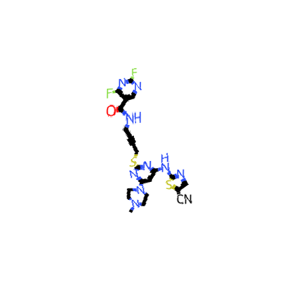 CN1CCN(c2cc(Nc3ncc(C#N)s3)nc(SCC#CCNC(=O)c3cnc(F)nc3F)n2)CC1